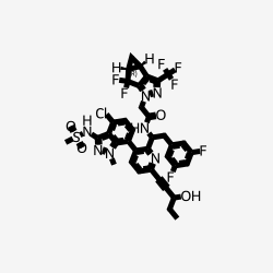 CCC(O)C#Cc1ccc(-c2ccc(Cl)c3c(NS(C)(=O)=O)nn(C)c23)c(C(Cc2cc(F)cc(F)c2)NC(=O)Cn2nc(C(F)(F)F)c3c2C(F)(F)[C@@H]2C[C@H]32)n1